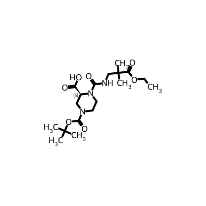 CCOC(=O)C(C)(C)CNC(=O)N1CCN(C(=O)OC(C)(C)C)C[C@H]1C(=O)O